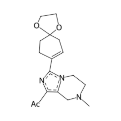 CC(=O)c1nc(C2=CCC3(CC2)OCCO3)n2c1CN(C)CC2